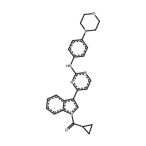 O=C(C1CC1)n1cc(-c2ccnc(Nc3ccc(N4CCOCC4)cc3)n2)c2ccccc21